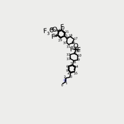 C/C=C/Cc1ccc(C2CCC(C(F)(F)OC3CCC(c4cc(F)c(OC(F)(F)F)c(F)c4)CC3)CC2)cc1